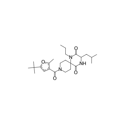 CCCN1C(=O)C(CC(C)C)NC(=O)C12CCN(C(=O)c1cc(C(C)(C)C)oc1C)CC2